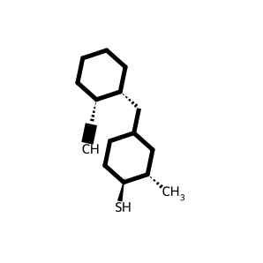 C#C[C@@H]1CCCC[C@@H]1CC1CC[C@H](S)[C@@H](C)C1